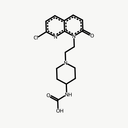 O=C(O)NC1CCN(CCn2c(=O)ccc3ccc(Cl)nc32)CC1